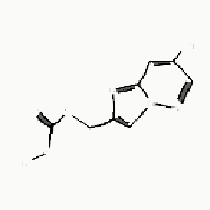 CC(C)(C)OC(=O)NCc1cn2ncc(C#N)cc2n1